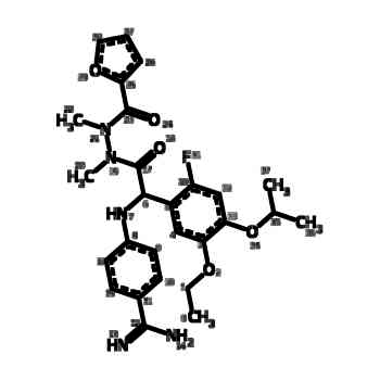 CCOc1cc(C(Nc2ccc(C(=N)N)cc2)C(=O)N(C)N(C)C(=O)c2ccco2)c(F)cc1OC(C)C